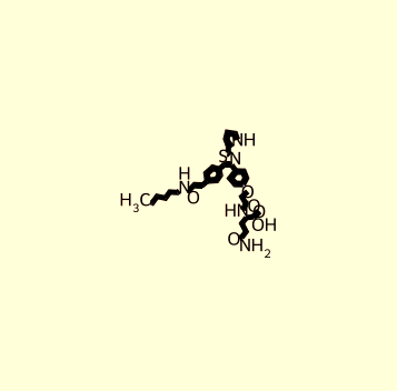 CCCCCCNC(=O)C=Cc1ccc(-c2sc(-c3ccc[nH]3)nc2-c2ccc(OCC(=O)NC(CCC(N)=O)C(=O)O)cc2)cc1